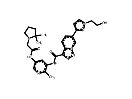 Cc1ncc(NC(=O)CN2CCCC2(C)C)cc1NC(=O)c1nnn2cc(-c3ccn(CCO)n3)ccc12